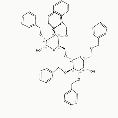 O[C@@H]1[C@H](OCc2ccccc2)[C@@H](OCc2ccccc2)[C@H](OC[C@H]2O[C@H](O)[C@H](OCc3ccccc3)[C@@H](OCc3ccccc3)[C@@H]2OCc2ccccc2)O[C@@H]1COCc1ccccc1